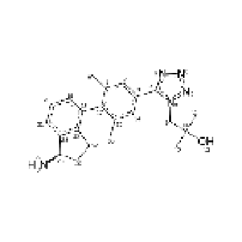 Cc1cc(-c2nnnn2CC(C)(C)O)cc(C)c1-c1cccc2c1CC[C@H]2N